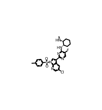 CN[C@H]1CCCC[C@@H]1Nc1nc(-c2cn(S(=O)(=O)c3ccc(C)cc3)c3ncc(Cl)cc23)ncc1F